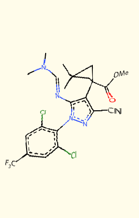 COC(=O)C1(c2c(C#N)nn(-c3c(Cl)cc(C(F)(F)F)cc3Cl)c2N=CN(C)C)CC1(C)C